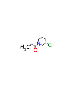 C=CC(=O)N1CCCC(Cl)C1